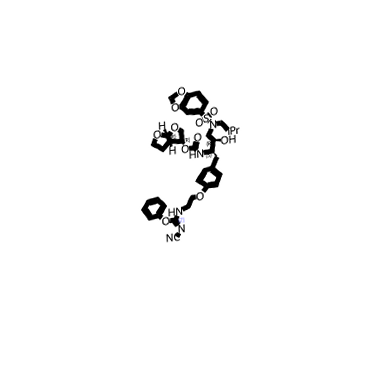 CC(C)CN(C[C@@H](O)[C@H](Cc1ccc(OCCN/C(=N/C#N)Oc2ccccc2)cc1)NC(=O)O[C@H]1CO[C@H]2OCC[C@H]21)S(=O)(=O)c1ccc2c(c1)OCO2